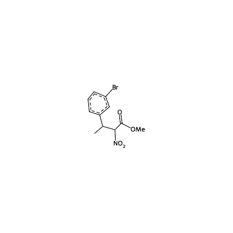 COC(=O)C(C(C)c1cccc(Br)c1)[N+](=O)[O-]